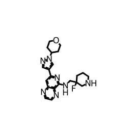 FC1(CNc2nc(-c3cnn(C4CCOCC4)c3)cc3nccnc23)CCCNC1